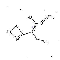 C=C/C(O)=C(\CC)C1=NNC1